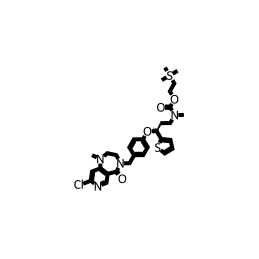 CN(CC[C@H](Oc1ccc(CN2CCN(C)c3cc(Cl)ncc3C2=O)cc1)c1cccs1)C(=O)OCCS(C)(C)C